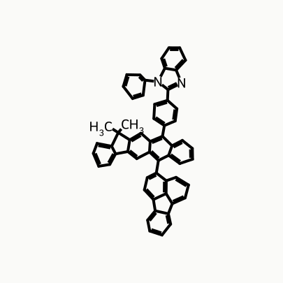 CC1(C)c2ccccc2-c2cc3c(-c4ccc5c6c(cccc46)-c4ccccc4-5)c4ccccc4c(-c4ccc(-c5nc6ccccc6n5-c5ccccc5)cc4)c3cc21